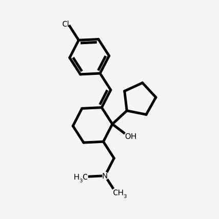 CN(C)CC1CCCC(=Cc2ccc(Cl)cc2)C1(O)C1CCCC1